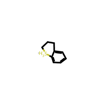 c1ccc2c(c1)CCC[SH3]2